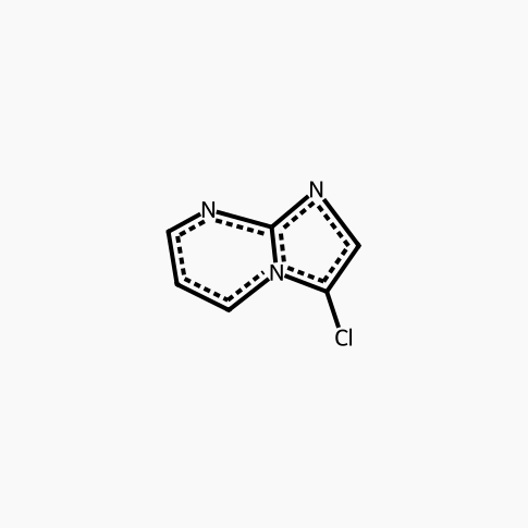 Clc1cnc2ncccn12